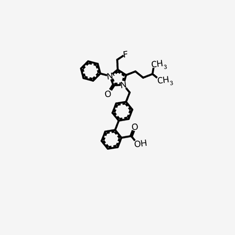 CC(C)CCc1c(CF)n(-c2ccccc2)c(=O)n1Cc1ccc(-c2ccccc2C(=O)O)cc1